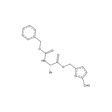 CC(C)[C@H](NC(=O)OCc1ccccc1)C(=O)OCc1ccc(C=O)o1